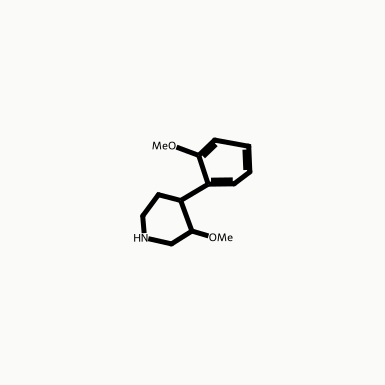 COc1ccccc1C1CCNCC1OC